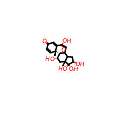 CC12C[C@H](O)[C@@]34O[C@@](O)(CC3C1C[C@@H](O)C2(O)O)C1=CC(=O)C=CC14C